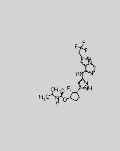 CC(C)NC(=O)O[C@@H]1CC[C@H](c2cc(Nc3nccn4nc(CC(F)(F)F)cc34)n[nH]2)[C@H]1F